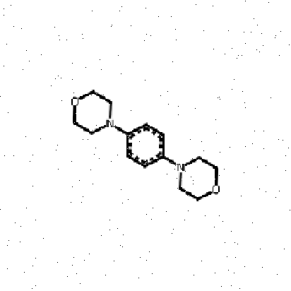 c1cc(N2CCOCC2)ccc1N1CCOCC1